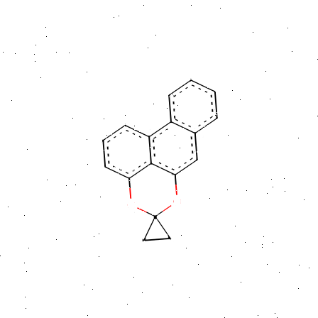 [c]1cccc2cc3c4c(cccc4c12)OC1(CC1)O3